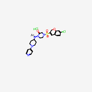 CC(=O)N(C1CCN(c2ccncc2)CC1)N1CCN(S(=O)(=O)C2=Cc3ccc(Cl)cc3OC2)CC1=O.Cl